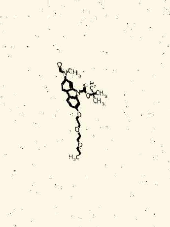 CCCOCCOCCOc1ccc2c3ccc(N(C)C=O)cc3n(C(=O)OC(C)(C)C)c2c1